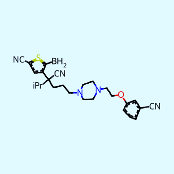 Bc1sc(C#N)cc1C(C#N)(CCCN1CCN(CCOc2cccc(C#N)c2)CC1)C(C)C